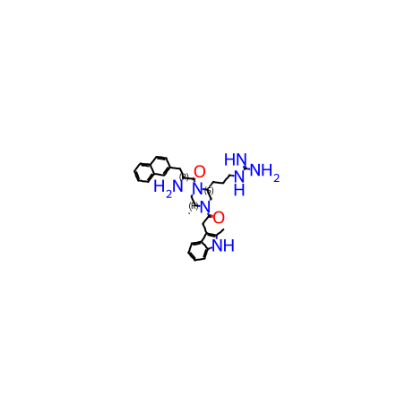 Cc1[nH]c2ccccc2c1CC(=O)N1C[C@H](CCCNC(=N)N)N(C(=O)[C@H](N)Cc2ccc3ccccc3c2)C[C@H]1C